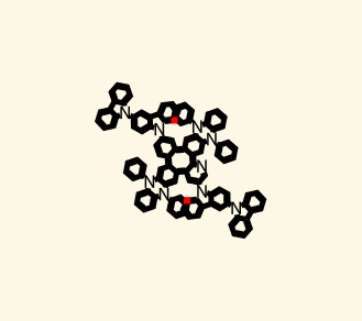 C1=C2C(Cc3c1c1cc(-n4c5ccccc5c5cc(-n6c7ccccc7c7ccccc76)ccc54)ccc1c1cc4c(cc1c1cc(-n5c6ccccc6c6cc(-n7c8ccccc8c8ccccc87)ccc65)cnc31)n(-c1ccccc1)c1ccccc1n4-c1ccccc1)N(c1ccccc1)c1ccccc1N2c1ccccc1